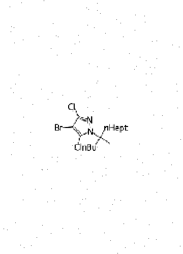 CCCCCCCC(C)(CCCC)n1nc(Cl)c(Br)c1Cl